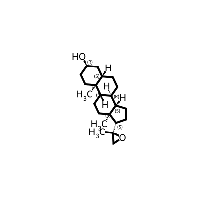 CC1([C@H]2CC[C@H]3[C@@H]4CC[C@H]5C[C@H](O)CC[C@]5(C)[C@H]4CC[C@]23C)CO1